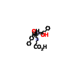 O=C(O)CCC/C=C\C[C@H]1[C@H](/C=C/[C@@H](O)CCc2ccccc2)[C@@H]2C[C@@]1(c1ccc(-c3ccccc3)cc1)CO2